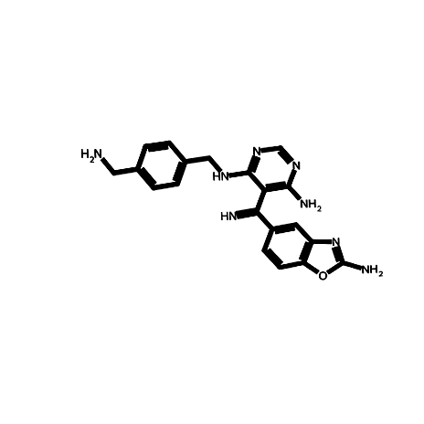 N=C(c1ccc2oc(N)nc2c1)c1c(N)ncnc1NCc1ccc(CN)cc1